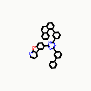 c1ccc(-c2cccc(-c3nc(-c4cccc(-c5cccc6ccc7ccccc7c56)c4)nc(-c4ccc5oc6ncccc6c5c4)n3)c2)cc1